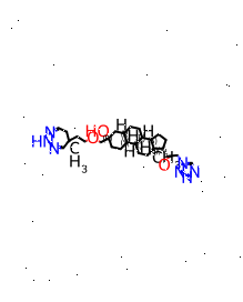 CC1(CCOC[C@@]2(O)CC[C@H]3[C@H](CC[C@@H]4[C@@H]3CC[C@]3(C)[C@@H](C(=O)Cn5cnnn5)CC[C@@H]43)C2)C=NNN=CC1